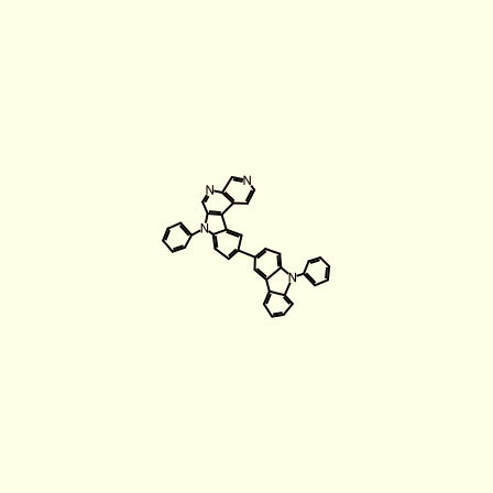 c1ccc(-n2c3ccccc3c3cc(-c4ccc5c(c4)c4c6ccncc6ncc4n5-c4ccccc4)ccc32)cc1